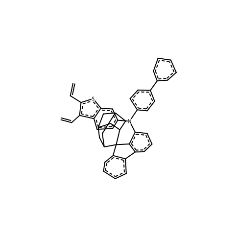 C=Cc1sc2cc(N(c3ccc(-c4ccccc4)cc3)c3cccc4c3C3(c5ccccc5-4)C4CC5CC(C4)CC3C5)ccc2c1C=C